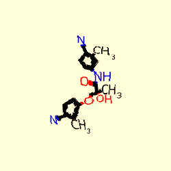 Cc1cc(NC(=O)C(C)(O)COc2ccc(C#N)c(C)c2)ccc1C#N